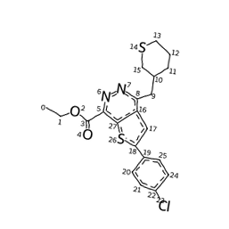 CCOC(=O)c1nnc(CC2CCCSC2)c2cc(-c3ccc(Cl)cc3)sc12